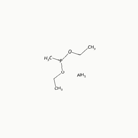 CCOP(C)OCC.[AlH3]